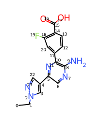 CCn1cc(-c2cnc(N)c(-c3ccc(C(=O)O)c(F)c3)n2)cn1